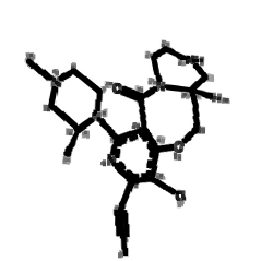 CC#Cc1nc(N2CCN(C)C[C@@H]2C)c2c(c1Cl)OC[C@H]1CNCCN1C2=O